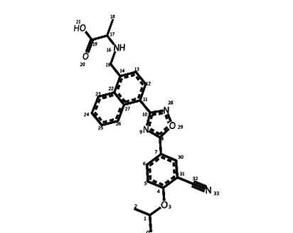 CC(C)Oc1ccc(-c2nc(-c3ccc(CNC(C)C(=O)O)c4ccccc34)no2)cc1C#N